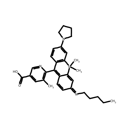 CCCCC/N=C1/C=CC2=C(c3ncc(C(=O)O)cc3C)c3ccc(N4CCCC4)cc3[Si](C)(C)C2=C1